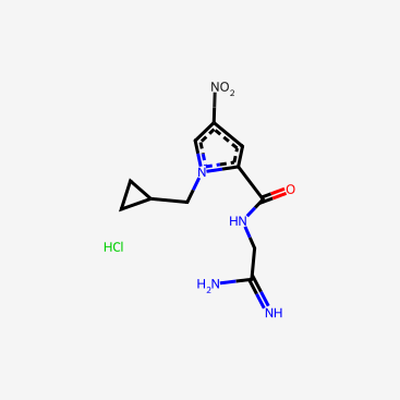 Cl.N=C(N)CNC(=O)c1cc([N+](=O)[O-])cn1CC1CC1